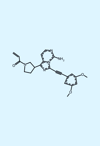 C=CC(=O)N1CCC(c2nc(C#Cc3cc(OC)cc(OC)c3)n3c(N)nccc23)C1